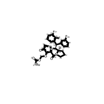 CC(C)(C)C(=O)OCOc1c2n(ncc1=O)[C@@H](C(c1cccc(F)c1)c1cccc(F)c1F)[C@H]1CCCN1C2=O